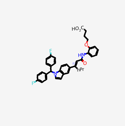 CCC/C(=C\C(=O)Nc1ccccc1OCCCC(=O)O)c1ccc2c(ccn2C(c2ccc(F)cc2)c2ccc(F)cc2)c1